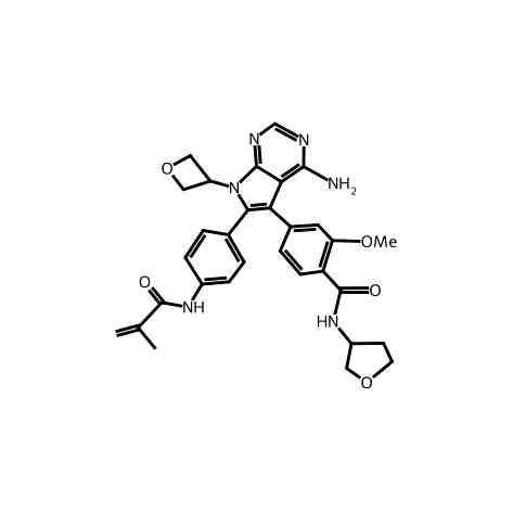 C=C(C)C(=O)Nc1ccc(-c2c(-c3ccc(C(=O)NC4CCOC4)c(OC)c3)c3c(N)ncnc3n2C2COC2)cc1